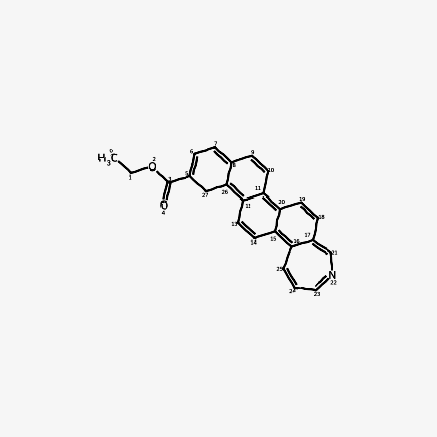 CCOC(=O)C1=CC=c2ccc3c(ccc4c5c(ccc43)=CN=CC=C5)c2C1